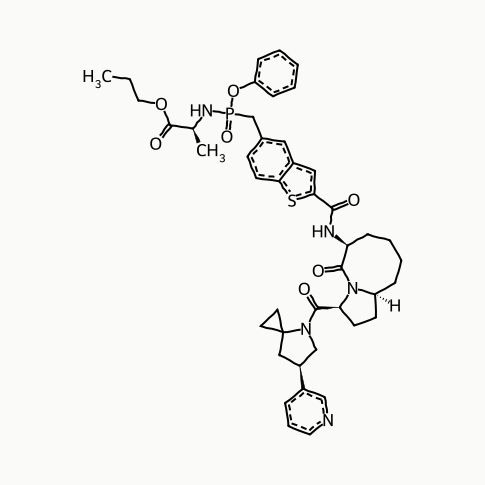 CCCOC(=O)[C@H](C)NP(=O)(Cc1ccc2sc(C(=O)N[C@H]3CCCC[C@H]4CC[C@@H](C(=O)N5C[C@@H](c6cccnc6)CC56CC6)N4C3=O)cc2c1)Oc1ccccc1